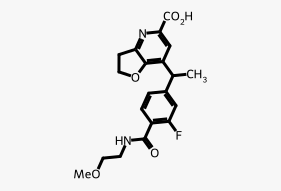 COCCNC(=O)c1ccc(C(C)c2cc(C(=O)O)nc3c2OCC3)cc1F